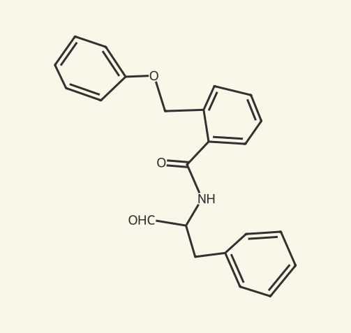 O=CC(Cc1ccccc1)NC(=O)c1ccccc1COc1ccccc1